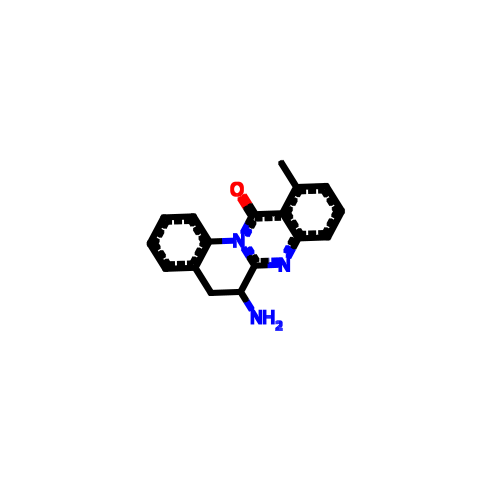 Cc1cccc2nc3n(c(=O)c12)-c1ccccc1CC3N